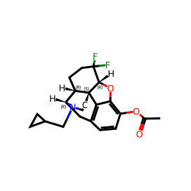 CC(=O)Oc1ccc2c3c1O[C@H]1C(F)(F)CC[C@H]4[C@@H](C2)N(CC2CC2)CC[C@@]341